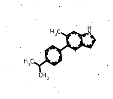 Cc1cc2[nH]ccc2cc1-c1ccc(C(C)C)cc1